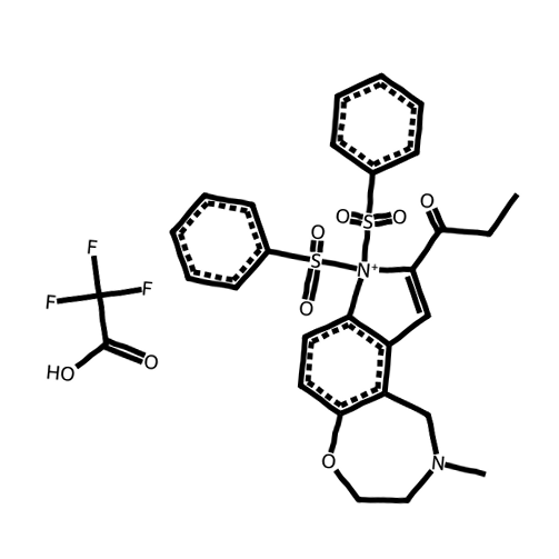 CCC(=O)C1=Cc2c(ccc3c2CN(C)CCO3)[N+]1(S(=O)(=O)c1ccccc1)S(=O)(=O)c1ccccc1.O=C(O)C(F)(F)F